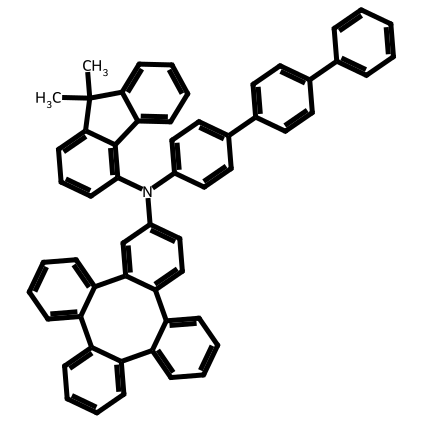 CC1(C)c2ccccc2-c2c(N(c3ccc(-c4ccc(-c5ccccc5)cc4)cc3)c3ccc4c(c3)-c3ccccc3-c3ccccc3-c3ccccc3-4)cccc21